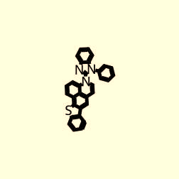 c1ccc2sc3c4cccc5c4c(cc3c2c#1)C=CN5c1nc2ccccc2n1-c1ccccc1